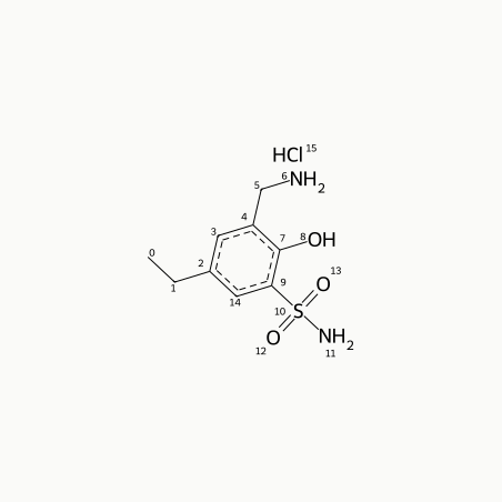 CCc1cc(CN)c(O)c(S(N)(=O)=O)c1.Cl